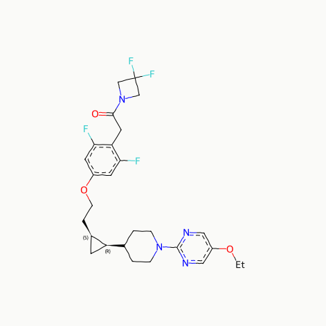 CCOc1cnc(N2CCC([C@H]3C[C@H]3CCOc3cc(F)c(CC(=O)N4CC(F)(F)C4)c(F)c3)CC2)nc1